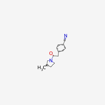 C[C@@H]1CCN(C(=O)Cc2ccc(C#N)cc2)C1